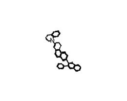 C1=C(N2CCCc3ccccc32)CCc2c1ccc1cc(-c3cc4ccccc4cc3-c3ccccc3)ccc21